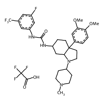 COc1ccc(C23CCC(NC(=O)Nc4cc(F)cc(C(F)(F)F)c4)CC2N(C2CCN(C)CC2)CC3)cc1OC.O=C(O)C(F)(F)F